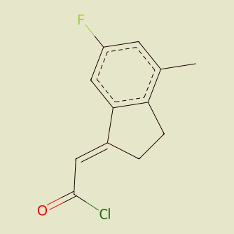 Cc1cc(F)cc2c1CCC2=CC(=O)Cl